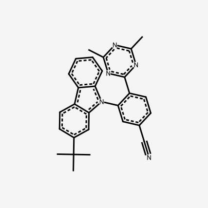 Cc1nc(C)nc(-c2ccc(C#N)cc2-n2c3ccccc3c3ccc(C(C)(C)C)cc32)n1